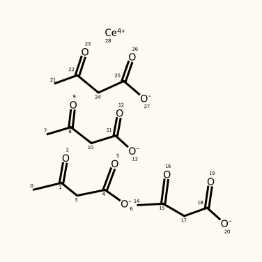 CC(=O)CC(=O)[O-].CC(=O)CC(=O)[O-].CC(=O)CC(=O)[O-].CC(=O)CC(=O)[O-].[Ce+4]